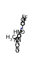 Cc1nc(N2CCC(N3CCCC3)CC2)nc2ccc(NC(=O)/C=C/c3ccc(OC(F)(F)F)cc3)cc12